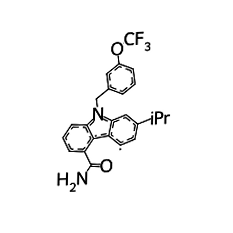 CC(C)c1c[c]c2c3c(C(N)=O)cccc3n(Cc3cccc(OC(F)(F)F)c3)c2c1